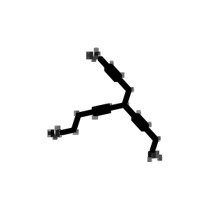 CC#CC[C](C#CCC)C#CCCC